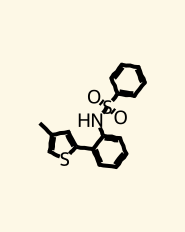 Cc1csc(-c2ccccc2NS(=O)(=O)c2ccccc2)c1